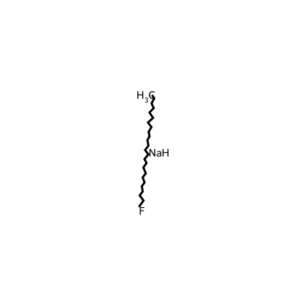 CCCCCCCCCCCCCCCCCCCCCCCCCF.[NaH]